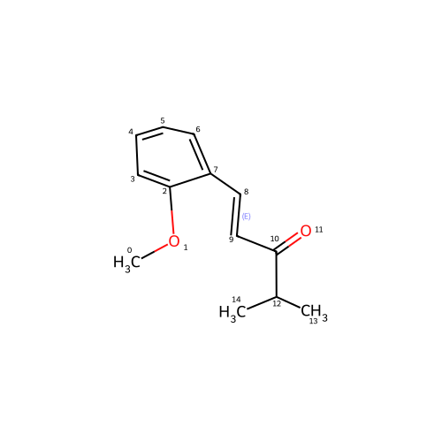 COc1ccccc1/C=C/C(=O)C(C)C